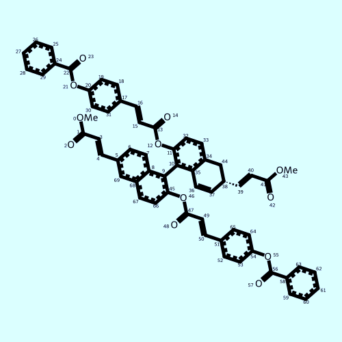 COC(=O)/C=C/c1ccc2c(-c3c(OC(=O)/C=C/c4ccc(OC(=O)c5ccccc5)cc4)ccc4c3C=C[C@@H](/C=C/C(=O)OC)C4)c(OC(=O)/C=C/c3ccc(OC(=O)c4ccccc4)cc3)ccc2c1